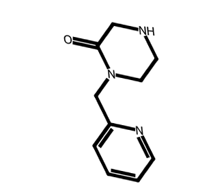 O=C1CNCCN1Cc1ccccn1